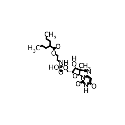 CCCC(CCC)C(=O)OCCNP(=O)(O)OC[C@H]1O[C@@H](n2ccc(=O)[nH]c2=O)[C@](C)(C#N)[C@@H]1O